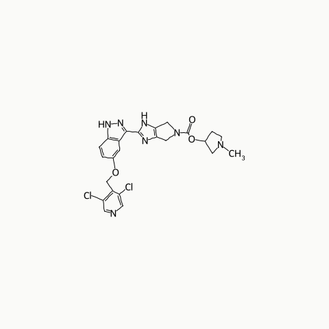 CN1CCC(OC(=O)N2Cc3nc(-c4n[nH]c5ccc(OCc6c(Cl)cncc6Cl)cc45)[nH]c3C2)C1